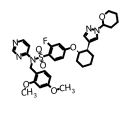 COc1ccc(CN(c2ccncn2)S(=O)(=O)c2ccc(O[C@H]3CCCC[C@@H]3c3cnn(C4CCCCO4)c3)cc2F)c(OC)c1